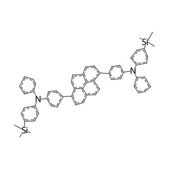 C[Si](C)(C)c1ccc(N(c2ccccc2)c2ccc(-c3ccc4ccc5c(-c6ccc(N(c7ccccc7)c7ccc([Si](C)(C)C)cc7)cc6)ccc6ccc3c4c65)cc2)cc1